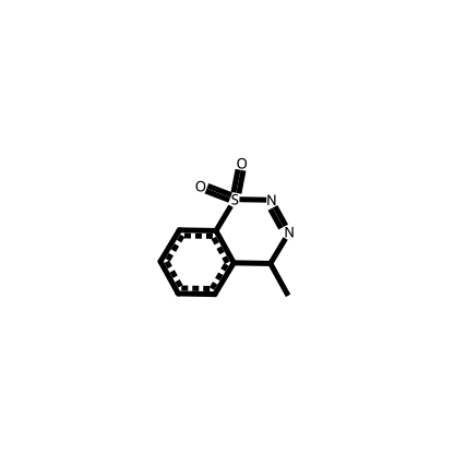 CC1N=NS(=O)(=O)c2ccccc21